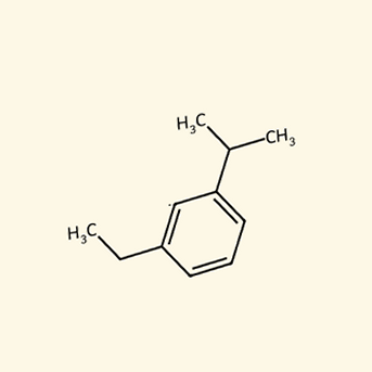 CCc1[c]c(C(C)C)ccc1